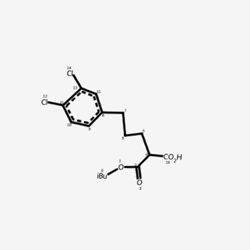 CCC(C)OC(=O)C(CCCc1ccc(Cl)c(Cl)c1)C(=O)O